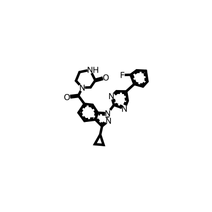 O=C1CN(C(=O)c2ccc3c(C4CC4)nn(-c4ncc(-c5ccccc5F)cn4)c3c2)CCN1